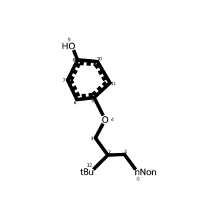 CCCCCCCCCCC(COc1ccc(O)cc1)C(C)(C)C